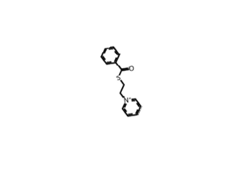 O=C(SCC[n+]1ccccc1)c1ccccc1